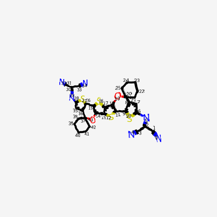 N#CC(C#N)=Nc1cc2c(s1)-c1sc3c4c(sc3c1OC21CCCCC1)-c1sc(N=C(C#N)C#N)cc1C1(CCCCC1)O4